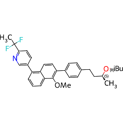 CC[C@@H](C)O[C@@H](C)CCc1ccc(-c2ccc3c(-c4ccc(C(C)(F)F)nc4)cccc3c2OC)cc1